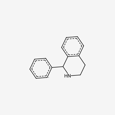 [c]1ccccc1C1NCCc2ccccc21